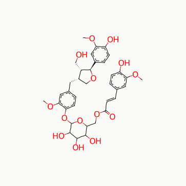 COc1cc(/C=C/C(=O)OCC2OC(Oc3ccc(C[C@H]4CO[C@H](c5ccc(O)c(OC)c5)[C@H]4CO)cc3OC)C(O)C(O)C2O)ccc1O